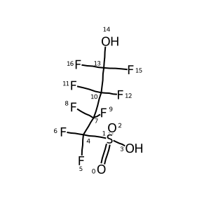 O=S(=O)(O)C(F)(F)C(F)(F)C(F)(F)C(O)(F)F